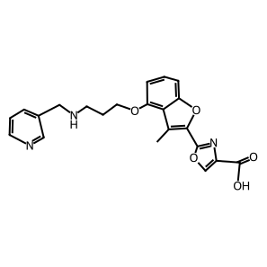 Cc1c(-c2nc(C(=O)O)co2)oc2cccc(OCCCNCc3cccnc3)c12